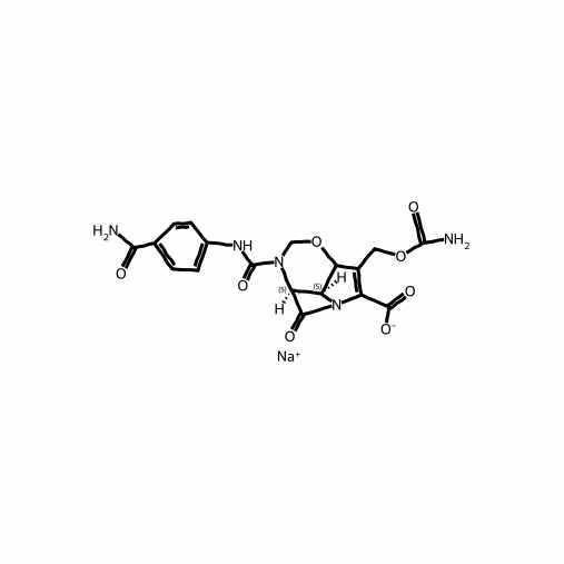 NC(=O)OCC1=C(C(=O)[O-])N2C(=O)[C@@H]3[C@H]2C1OCN3C(=O)Nc1ccc(C(N)=O)cc1.[Na+]